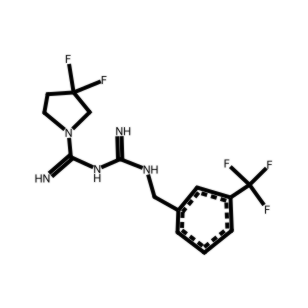 N=C(NCc1cccc(C(F)(F)F)c1)NC(=N)N1CCC(F)(F)C1